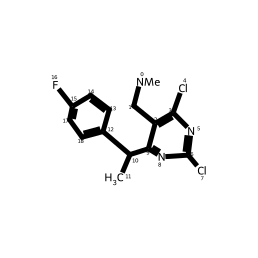 CNCc1c(Cl)nc(Cl)nc1C(C)c1ccc(F)cc1